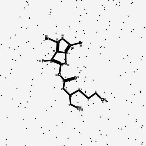 CCCCC(CC)CC(=O)Oc1sc2c(Br)sc(Br)c2c1F